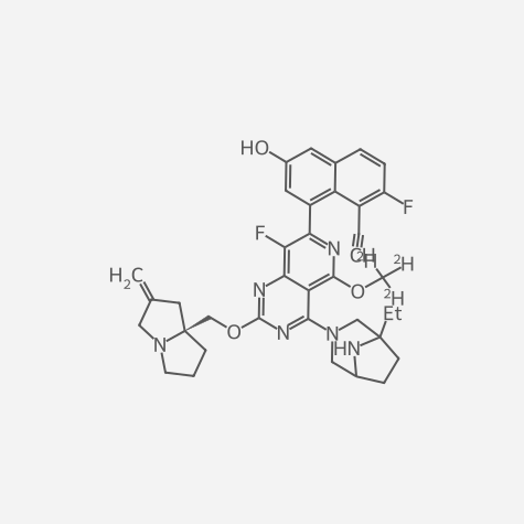 [2H]C([2H])([2H])Oc1nc(-c2cc(O)cc3ccc(F)c(C#C)c23)c(F)c2nc(OC[C@@]34CCCN3CC(=C)C4)nc(N3CC4CCC(CC)(C3)N4)c12